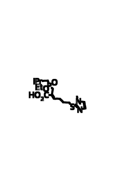 CCOP(=O)(CC(=CCCCSc1nccn1C)C(=O)O)CC(C)C